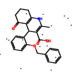 CC1=C(C(=O)O)C(c2ccccc2OCc2ccccc2)C2=C(CCCC2=O)N1